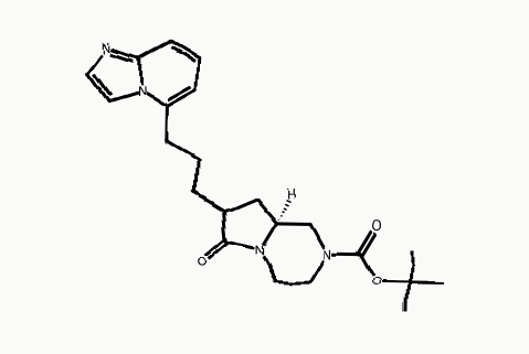 CC(C)(C)OC(=O)N1CCN2C(=O)C(CCCc3cccc4nccn34)C[C@H]2C1